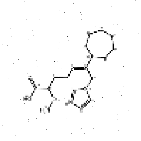 NOC(CCC=C(Cn1ccnc1)C1CCCCCC1)C(=O)O